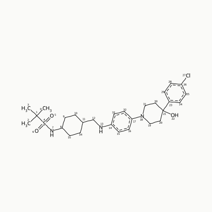 CC(C)(C)S(=O)(=O)NC1CCC(CNc2ccc(N3CCC(O)(c4ccc(Cl)cc4)CC3)cc2)CC1